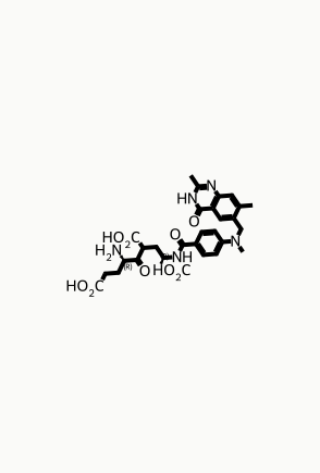 Cc1nc2cc(C)c(CN(C)c3ccc(C(=O)N[C@H](CC(C(=O)O)C(=O)[C@H](N)CCC(=O)O)C(=O)O)cc3)cc2c(=O)[nH]1